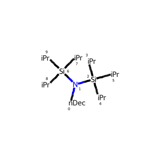 CCCCCCCCCCN([Si](C(C)C)(C(C)C)C(C)C)[Si](C(C)C)(C(C)C)C(C)C